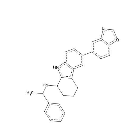 CC(NC1CCCc2c1[nH]c1ccc(-c3ccc4ocnc4c3)cc21)c1ccccc1